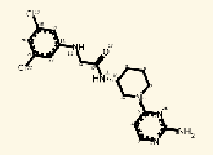 Nc1nccc(N2CCC[C@@H](NC(=O)CNc3cc(Cl)cc(Cl)c3)C2)n1